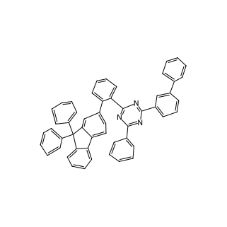 c1ccc(-c2cccc(-c3nc(-c4ccccc4)nc(-c4ccccc4-c4ccc5c(c4)C(c4ccccc4)(c4ccccc4)c4ccccc4-5)n3)c2)cc1